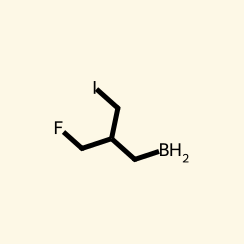 BCC(CF)CI